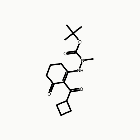 CN(NC1=C(C(=O)C2CCC2)C(=O)CCC1)C(=O)OC(C)(C)C